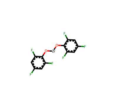 Fc1cc(F)c([O][Zr][O]c2c(F)cc(F)cc2F)c(F)c1